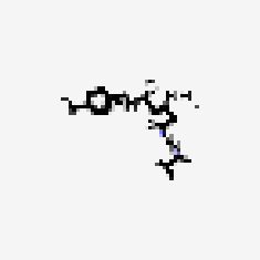 C/C(=N/N=C1\CC(N)=C(C(=O)NCc2ccc(C(F)F)cc2)S1)C(C)C